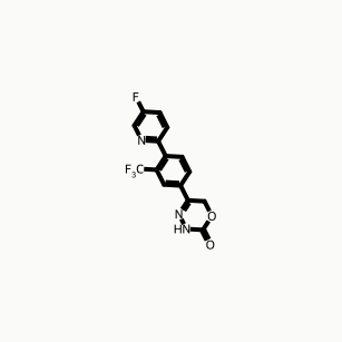 O=C1NN=C(c2ccc(-c3ccc(F)cn3)c(C(F)(F)F)c2)CO1